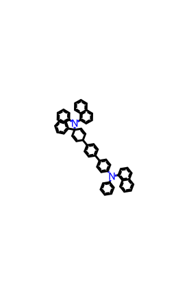 C1=CC(c2ccccc2)(N(c2ccccc2)c2cccc3ccccc23)C=CC1c1ccc(-c2ccc(N(c3ccccc3)c3cccc4ccccc34)cc2)cc1